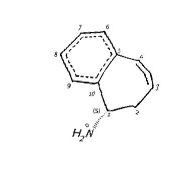 N[C@H]1CC=Cc2ccccc21